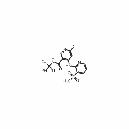 [2H]C([2H])([2H])NC(=O)c1nnc(Cl)cc1Nc1ncccc1S(C)(=O)=O